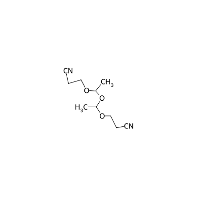 CC(OCCC#N)OC(C)OCCC#N